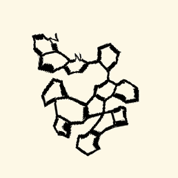 c1ccc(-c2cc3c(c4ccccc24)C2(c4ccccc4-c4ccccc42)c2c-3c3ccccc3c3ccccc23)c(-c2ccc3ccc4cccnc4c3n2)c1